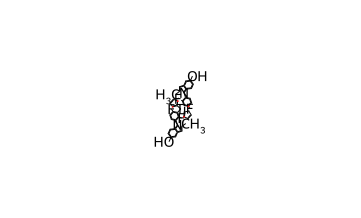 Cc1cc2cc(O)ccc2n1-c1ccc(F)[c]([Ti]([C]2=CC=CC2)([C]2=CC=CC2)[c]2c(F)ccc(-n3c(C)cc4cc(O)ccc43)c2F)c1F